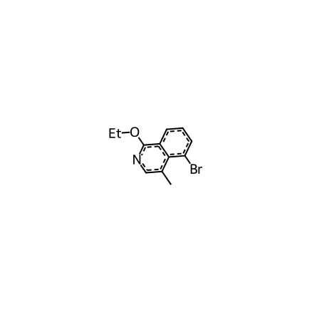 CCOc1ncc(C)c2c(Br)cccc12